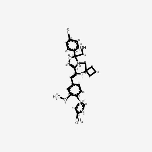 COc1cc(/C=C2\OC3(CCC3)CN3C2=NOC3(CO)c2ccc(F)cc2)ccc1-n1cnc(C)c1